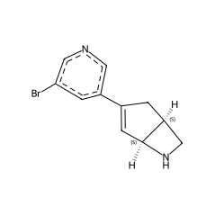 Brc1cncc(C2=C[C@@H]3NC[C@@H]3C2)c1